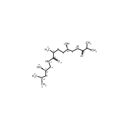 CC(C)C(=O)NC[C@H](O)CCC(C)C(=O)NC[C@H](O)CN(C)C